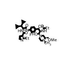 CCC(=O)N[C@@H](C(O)N1CCN(C)[C@H](COC)C1)[C@@H](C)c1ccc(NC(=O)[C@@H](NC(=O)c2ccnn2CC)C(C2CC2)C2CC2)c(F)c1